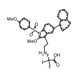 COc1ccc(S(=O)(=O)n2c(OC)c(CCN)c3cc(-c4cccc5ccccc45)ccc32)cc1.O=C(O)C(F)(F)F